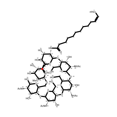 CCCCCC/C=C\CCCCCCCCCC(=O)N[C@@H]1C(O[C@@H]2C(CO)OC(O[C@@H]3C(CO)OC(O[C@@H]4C(CO)OC(O[C@@H]5C(CO[C@@H]6OC(C)[C@@H](O)C(O)[C@H]6OC)OC(O)[C@@H](NC(C)=O)[C@H]5O)[C@@H](NC(C)=O)[C@H]4O)[C@@H](NC(C)=O)[C@H]3O)[C@@H](NC(C)=O)[C@H]2O)OC(COC(C)=O)[C@@H](O)[C@@H]1O